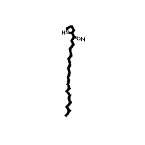 CCCCCCCCCCCCCCCCCCCC(O)C1CCCN1